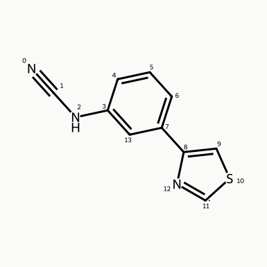 N#CNc1cccc(-c2cs[c]n2)c1